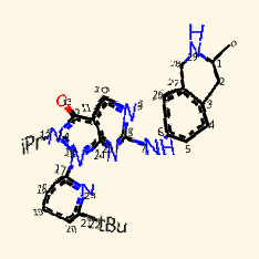 CC1Cc2ccc(Nc3ncc4c(=O)n(C(C)C)n(-c5cccc(C(C)(C)C)n5)c4n3)cc2CN1